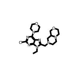 CCn1c(CN2CCN3CCOCC3C2)nc2c(N3CCOCC3)nc(Cl)nc21